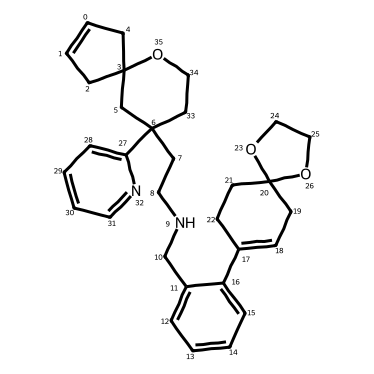 C1=CCC2(C1)CC(CCNCc1ccccc1C1=CCC3(CC1)OCCO3)(c1ccccn1)CCO2